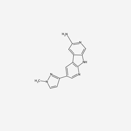 Cn1ccc(-c2cnc3[nH]c4cnc(N)cc4c3c2)n1